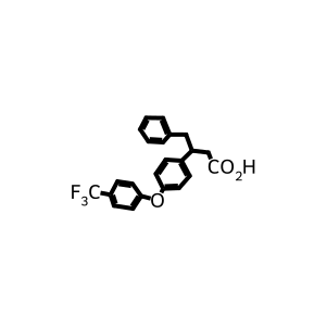 O=C(O)CC(Cc1ccccc1)c1ccc(Oc2ccc(C(F)(F)F)cc2)cc1